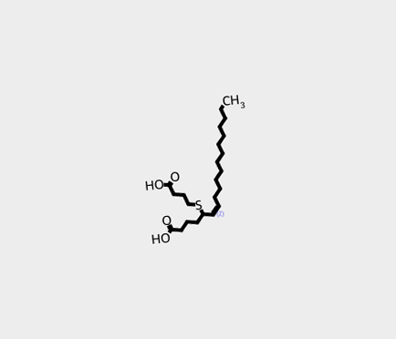 CCCCCCCCCCCC/C=C\C(CCCC(=O)O)SCCCC(=O)O